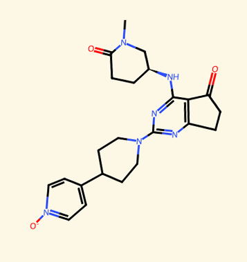 CN1C[C@@H](Nc2nc(N3CCC(c4cc[n+]([O-])cc4)CC3)nc3c2C(=O)CC3)CCC1=O